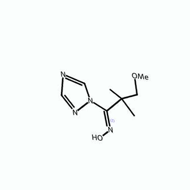 COCC(C)(C)/C(=N/O)n1cncn1